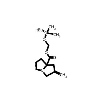 C=C1CN2CCCC2(C(=O)OCO[Si](C)(C)C(C)(C)C)C1